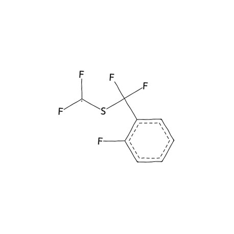 F[C](F)SC(F)(F)c1ccccc1F